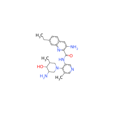 CCc1ccc2cc(N)c(C(=O)Nc3cncc(C)c3N3CC(C)C(O)C(N)C3)nc2c1